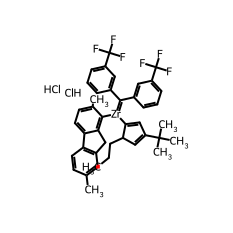 CCCC1C=C(C(C)(C)C)C=[C]1[Zr](=[C](c1cccc(C(F)(F)F)c1)c1cccc(C(F)(F)F)c1)[c]1c(C)ccc2c1Cc1cc(C)ccc1-2.Cl.Cl